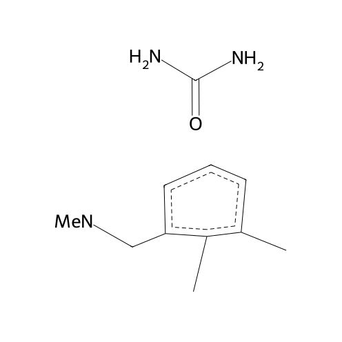 CNCc1cccc(C)c1C.NC(N)=O